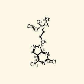 CCOP(=O)(CCOn1ncc2c(Cl)nc(Cl)nc21)OCC